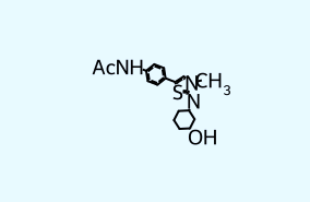 CC(=O)Nc1ccc(-c2cn(C)c(=NC3CCCC(O)C3)s2)cc1